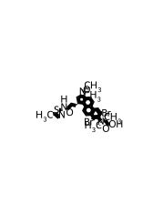 CO/N=C1/C[C@@H](CCC(=O)Nc2ncc(C)s2)C2C3CCc4c(cc(Br)c(N(C)C(C)C(=O)O)c4Br)C3CC[C@]12C